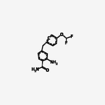 NC(=O)c1ccc(Cc2ccc(OC(F)F)cc2)cc1N